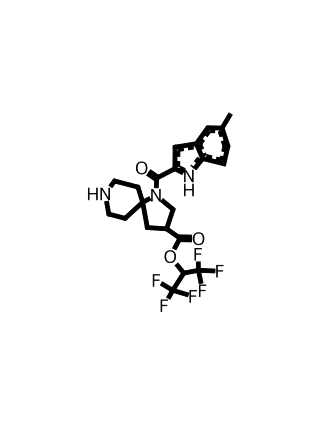 Cc1ccc2[nH]c(C(=O)N3CC(C(=O)OC(C(F)(F)F)C(F)(F)F)CC34CCNCC4)cc2c1